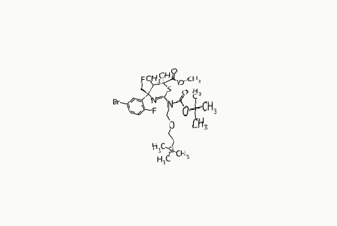 COC(=O)[C@@]1(C)SC(N(COCC[Si](C)(C)C)C(=O)OC(C)(C)C)=N[C@](CF)(c2cc(Br)ccc2F)C1C